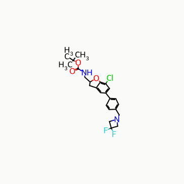 CC(C)(C)OC(=O)NCC1Cc2cc(-c3ccc(CN4CC(F)(F)C4)cc3)cc(Cl)c2O1